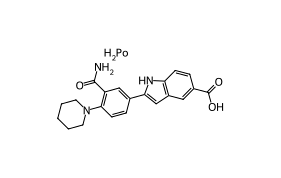 NC(=O)c1cc(-c2cc3cc(C(=O)O)ccc3[nH]2)ccc1N1CCCCC1.[PoH2]